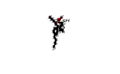 CC=CC1=C(S)c2sc(C)cc2[Si]1(CC(CCCC)CCCCCC)c1ccc(CCCCCC)cc1